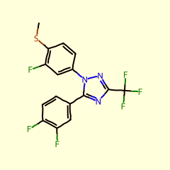 CSc1ccc(-n2nc(C(F)(F)F)nc2-c2ccc(F)c(F)c2)cc1F